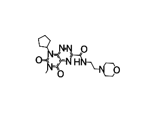 Cn1c(=O)c2nc(C(=O)NCCN3CCOCC3)nnc2n(C2CCCC2)c1=O